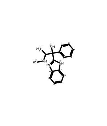 CC(C)NC(C)C(O)(c1ccccc1)c1nc2ccccc2[nH]1